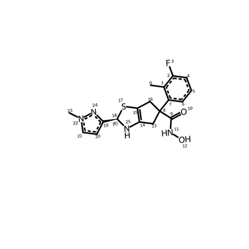 Cc1c(F)cccc1C1(C(=O)NO)CC2=C(C1)S[C@H](c1ccn(C)n1)N2